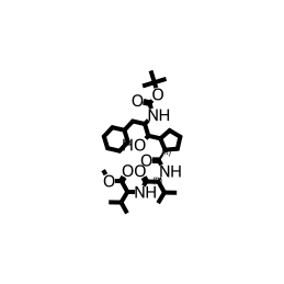 COC(=O)C(NC(=O)[C@H](NC(=O)[C@@H]1CCCC1C(O)C(CC1CCCCC1)NC(=O)OC(C)(C)C)C(C)C)C(C)C